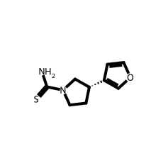 NC(=S)N1CC[C@@H](c2ccoc2)C1